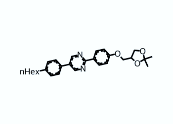 CCCCCCc1ccc(-c2cnc(-c3ccc(OCC4COC(C)(C)O4)cc3)nc2)cc1